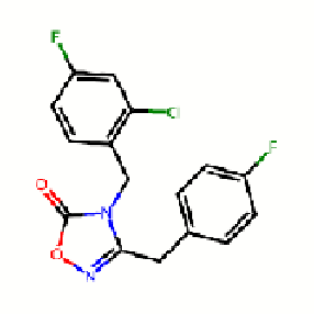 O=c1onc(Cc2ccc(F)cc2)n1Cc1ccc(F)cc1Cl